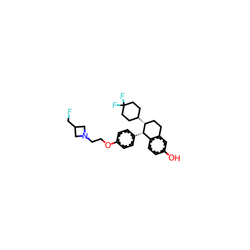 Oc1ccc2c(c1)CC[C@@H](C1CCC(F)(F)CC1)[C@H]2c1ccc(OCCN2CC(CF)C2)cc1